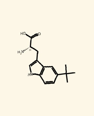 CC(C)(C)c1ccc2[nH]cc(C[C@H](N)C(=O)O)c2c1